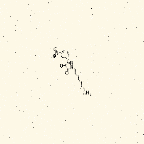 CCCCCCCCN1N=C(c2cccc([N+](=O)[O-])c2)C(=O)C1=O